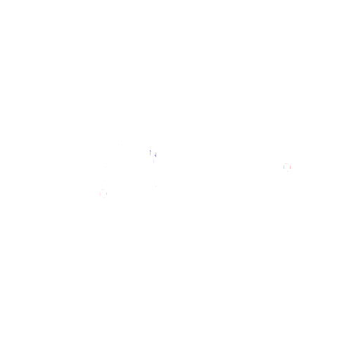 [O]CC#CCN1CCOCC1